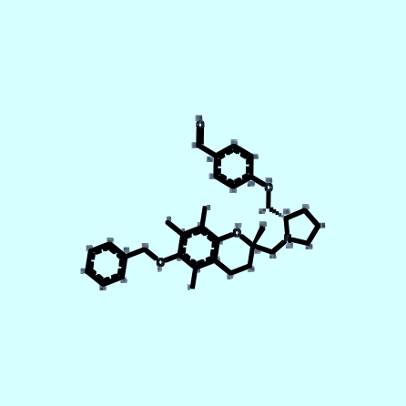 Cc1c(C)c2c(c(C)c1OCc1ccccc1)CC[C@@](C)(CN1CCC[C@H]1COc1ccc(C=O)cc1)O2